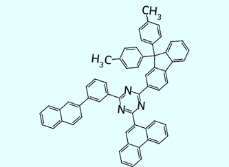 Cc1ccc(C2(c3ccc(C)cc3)c3ccccc3-c3ccc(-c4nc(-c5cccc(-c6ccc7ccccc7c6)c5)nc(-c5cc6ccccc6c6ccccc56)n4)cc32)cc1